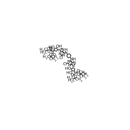 CC(C)(C)OC(=O)N(C(=O)OC(C)(C)C)[C@H]1C[C@@H](n2cnc3c(N[C@H]4CC[C@H](Nc5nc(Cl)nc6c5ncn6[C@@H]5C[C@H](N(C(=O)OC(C)(C)C)C(=O)OC(C)(C)C)[C@@H](O)[C@H]5O)CC4)nc(Cl)nc32)[C@H](O)[C@@H]1O